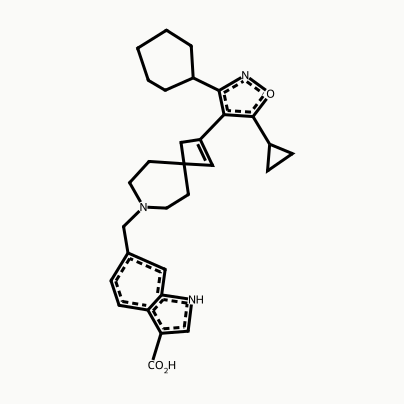 O=C(O)c1c[nH]c2cc(CN3CCC4(C=C(c5c(C6CCCCC6)noc5C5CC5)C4)CC3)ccc12